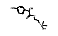 CC(C)c1ccc(C(O)C(=O)NCCO[Si](C)(C)C(C)(C)C)cc1